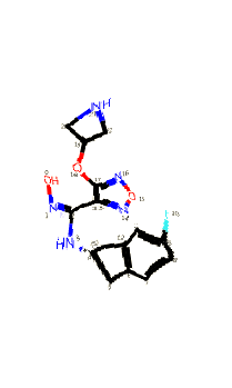 O/N=C(/N[C@H]1Cc2ccc(F)cc21)c1nonc1OC1CNC1